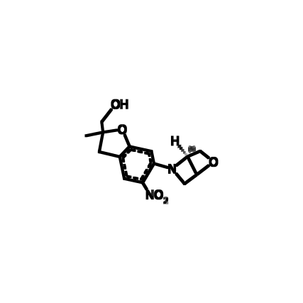 CC1(CO)Cc2cc([N+](=O)[O-])c(N3CC4OC[C@@H]43)cc2O1